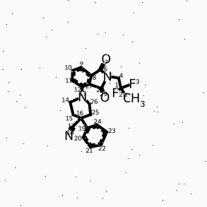 CC(F)(F)CN1C(=O)c2cccc(N3CCC(C#N)(c4ccccc4)CC3)c2C1=O